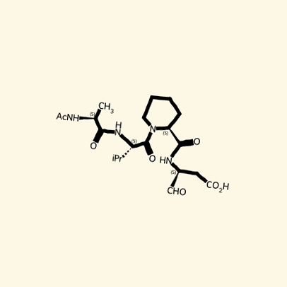 CC(=O)N[C@@H](C)C(=O)N[C@H](C(=O)N1CCCC[C@H]1C(=O)N[C@H](C=O)CC(=O)O)C(C)C